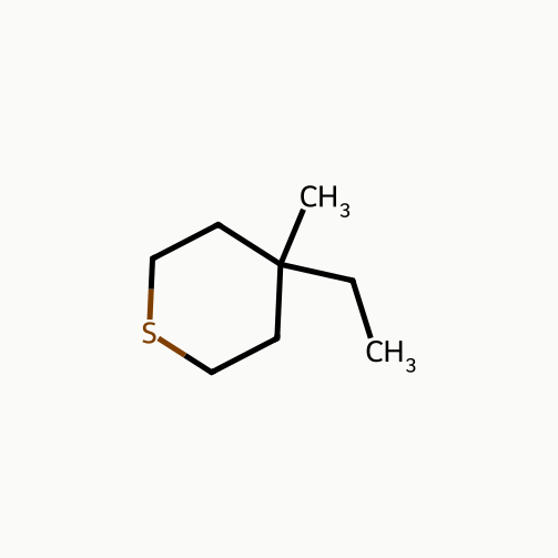 CCC1(C)CCSCC1